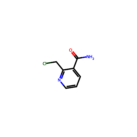 NC(=O)c1cccnc1CCl